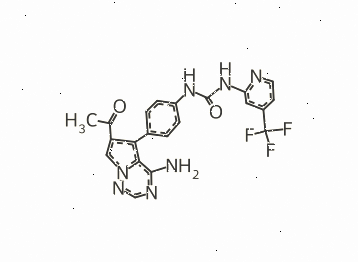 CC(=O)c1cn2ncnc(N)c2c1-c1ccc(NC(=O)Nc2cc(C(F)(F)F)ccn2)cc1